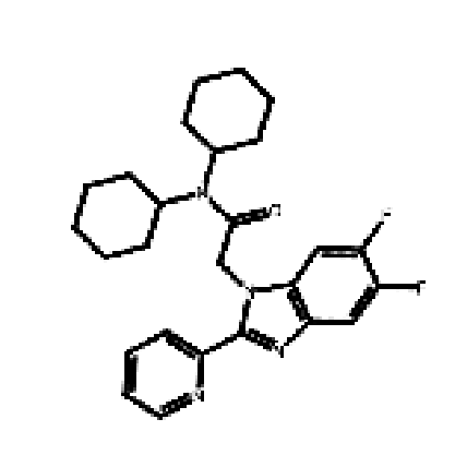 O=C(Cn1c(-c2ccccn2)nc2cc(F)c(F)cc21)N(C1CCCCC1)C1CCCCC1